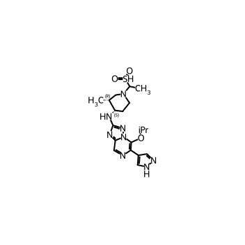 CC(C)Oc1c(-c2cn[nH]c2)ncc2nc(N[C@H]3CCN(C(C)[SH](=O)=O)C[C@H]3C)nn12